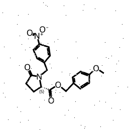 COc1ccc(COC(=O)[C@@H]2CCC(=O)N2Cc2ccc([N+](=O)[O-])cc2)cc1